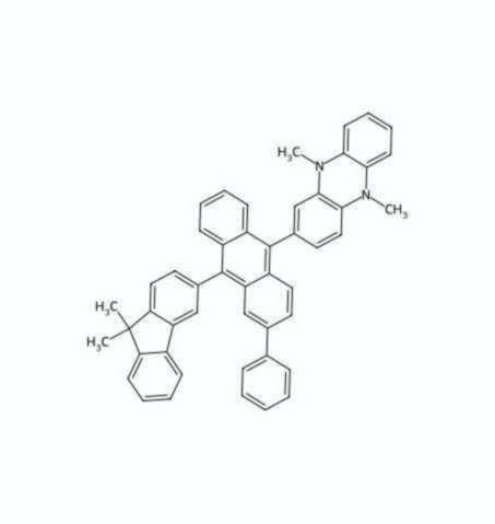 CN1c2ccccc2N(C)c2cc(-c3c4ccccc4c(-c4ccc5c(c4)-c4ccccc4C5(C)C)c4cc(-c5ccccc5)ccc34)ccc21